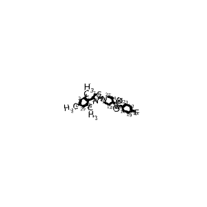 Cc1cc(C)c(-c2csc(N3CCC(S(=O)(=O)c4ccc(F)cc4)CC3)n2)c(C)c1